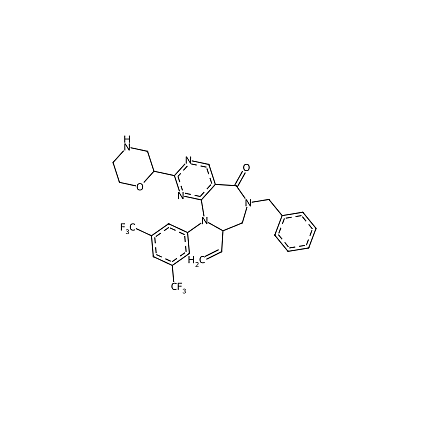 C=CC1CN(Cc2ccccc2)C(=O)c2cnc(C3CNCCO3)nc2N1c1cc(C(F)(F)F)cc(C(F)(F)F)c1